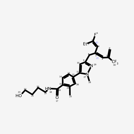 C=C(/C=C(\C=C(\F)CC)Cc1cc(-c2ccc(C(=O)NCCCCO)c(C)c2)n(C)n1)C(F)(F)F